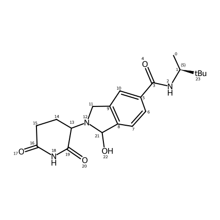 C[C@H](NC(=O)c1ccc2c(c1)CN(C1CCC(=O)NC1=O)C2O)C(C)(C)C